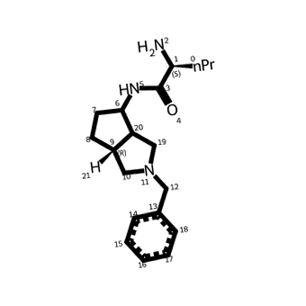 CCC[C@H](N)C(=O)NC1CC[C@H]2CN(Cc3ccccc3)CC12